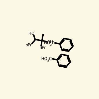 CCCC(O)C(C)(O)CCC.O=C(O)c1ccccc1.O=C(O)c1ccccc1